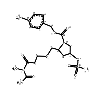 CN(C(N)=O)C(=O)CCSCC1CC(OS(C)(=O)=O)CN1C(=O)OCc1ccc([N+](=O)[O-])cc1